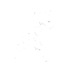 c1ccc2c(c1)-c1ccccc1-n1c3cc4c5ccccc5n(-c5nc6sc7ccccc7c6nc5-c5ccc6oc7ccccc7c6c5)c4cc3c3cccc-2c31